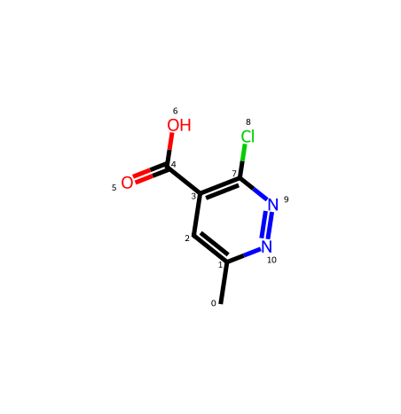 Cc1cc(C(=O)O)c(Cl)nn1